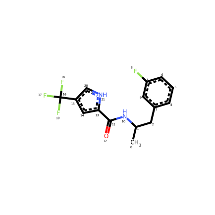 CC(Cc1cccc(F)c1)NC(=O)c1cc(C(F)(F)F)c[nH]1